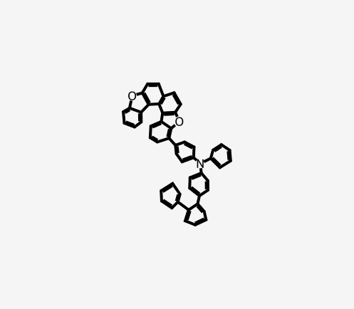 c1ccc(-c2ccccc2-c2ccc(N(c3ccccc3)c3ccc(-c4cccc5c4oc4ccc6ccc7oc8ccccc8c7c6c45)cc3)cc2)cc1